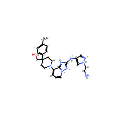 CSc1ccc(C2(CO)CCN(c3cccn4nc(Nc5cnn(CCN)c5)nc34)CC2)cc1